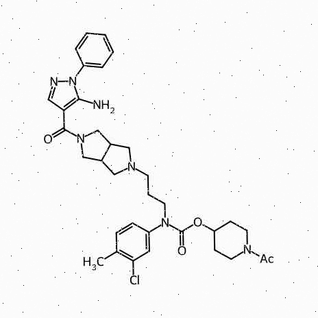 CC(=O)N1CCC(OC(=O)N(CCCN2CC3CN(C(=O)c4cnn(-c5ccccc5)c4N)CC3C2)c2ccc(C)c(Cl)c2)CC1